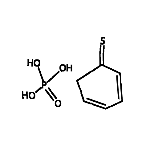 O=P(O)(O)O.S=C1C=CC=CC1